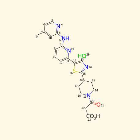 Cc1ccnc(Nc2cccc(-c3cnc(C4CCN(C(=O)CC(=O)O)CC4)s3)n2)c1.Cl